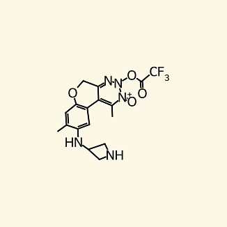 Cc1cc2c(cc1NC1CNC1)-c1c(nn(OC(=O)C(F)(F)F)[n+](=O)c1C)CO2